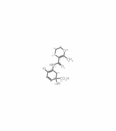 CC1=C(C(=O)NC2=C(F)C=CC(C(=O)O)(C(C)C)C2)SCCO1